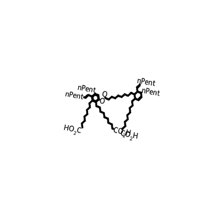 CCCCC/C=C/c1c(CCCCC)cc(OC(=O)CCCCCCCCC2C(CCCCCCCCCC(=O)O)C=CC(CCCCC)C2/C=C/CCCCC)c(CCCCCCCCCC(=O)O)c1CCCCCCCCC(=O)O